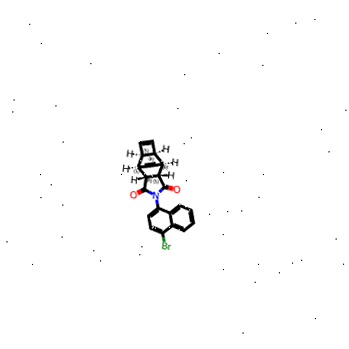 O=C1[C@@H]2[C@@H]3C=C[C@@H]([C@@H]4C=C[C@@H]43)[C@@H]2C(=O)N1c1ccc(Br)c2ccccc12